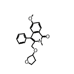 COc1ccc2c(=O)n(C)c(COC3CCOC3)c(-c3ccccc3)c2c1